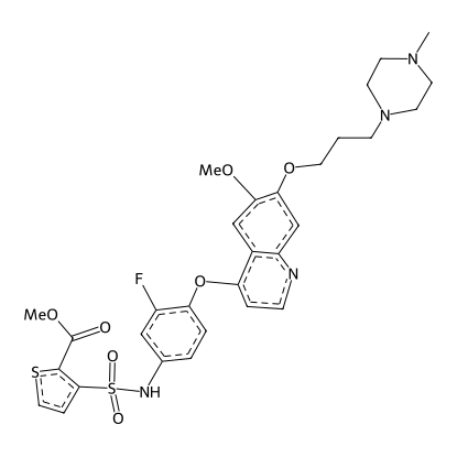 COC(=O)c1sccc1S(=O)(=O)Nc1ccc(Oc2ccnc3cc(OCCCN4CCN(C)CC4)c(OC)cc23)c(F)c1